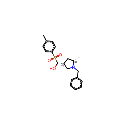 Cc1ccc(S(=O)(=O)C(O)[C@@H]2C[C@H](C)N(Cc3ccccc3)C2)cc1